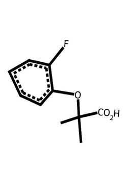 CC(C)(Oc1ccccc1F)C(=O)O